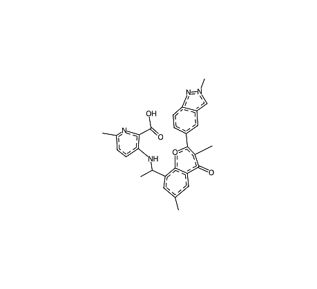 Cc1cc(C(C)Nc2ccc(C)nc2C(=O)O)c2oc(-c3ccc4nn(C)cc4c3)c(C)c(=O)c2c1